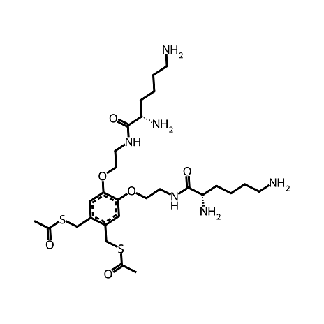 CC(=O)SCc1cc(OCCNC(=O)[C@@H](N)CCCCN)c(OCCNC(=O)[C@@H](N)CCCCN)cc1CSC(C)=O